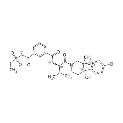 CCS(=O)(=O)NC(=O)c1cccc(C(=O)N[C@@H](C(=O)N2CC[C@](O)(c3ccc(Cl)cc3)C(C)(C)C2)C(C)C)c1